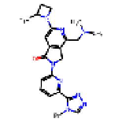 CC1CCN1c1cc2c(c(CN(C)C)n1)CN(c1cccc(-c3nncn3C(C)C)n1)C2=O